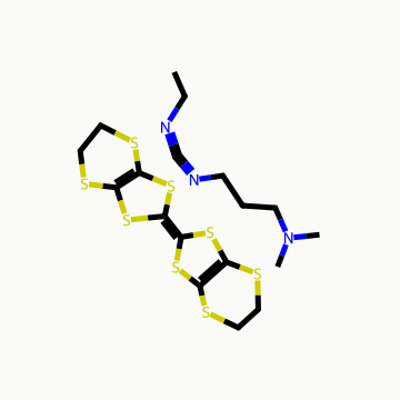 C1CSC2=C(S1)SC(=C1SC3=C(SCCS3)S1)S2.CCN=C=NCCCN(C)C